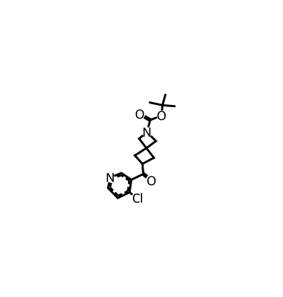 CC(C)(C)OC(=O)N1CC2(CC(C(=O)c3cnccc3Cl)C2)C1